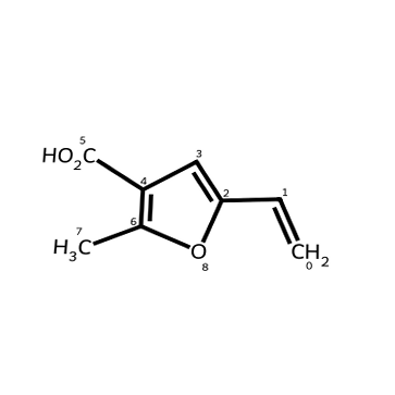 C=Cc1cc(C(=O)O)c(C)o1